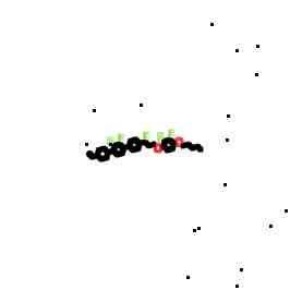 C=CC1CCC(c2ccc(-c3ccc(C(F)CCOc4ccc(OCCCCC)c(F)c4F)cc3)c(F)c2F)CC1